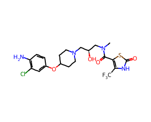 CN(C[C@@H](O)CN1CCC(Oc2ccc(N)c(Cl)c2)CC1)C(=O)c1sc(=O)[nH]c1C(F)(F)F